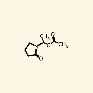 CC(=O)OC(C)N1CCCC1=O